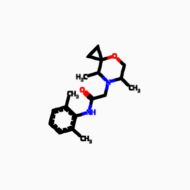 Cc1cccc(C)c1NC(=O)CN1C(C)COC2(CC2)C1C